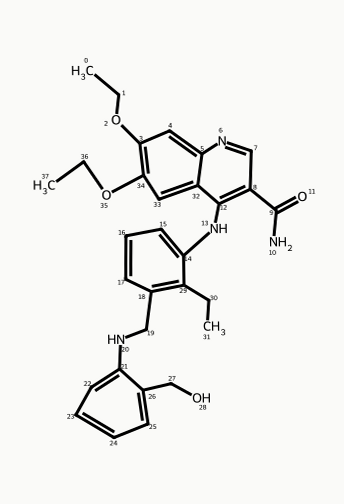 CCOc1cc2ncc(C(N)=O)c(Nc3cccc(CNc4ccccc4CO)c3CC)c2cc1OCC